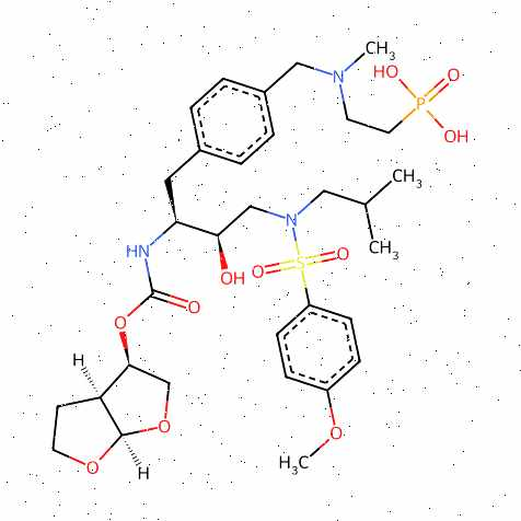 COc1ccc(S(=O)(=O)N(CC(C)C)C[C@@H](O)[C@H](Cc2ccc(CN(C)CCP(=O)(O)O)cc2)NC(=O)O[C@H]2CO[C@H]3OCC[C@H]32)cc1